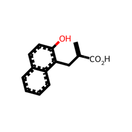 C=C(Cc1c(O)ccc2ccccc12)C(=O)O